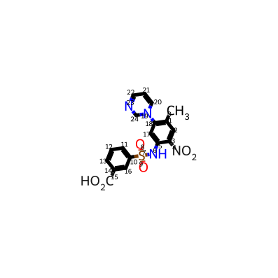 Cc1cc([N+](=O)[O-])c(NS(=O)(=O)c2cccc(C(=O)O)c2)cc1N1C=CC=NC1